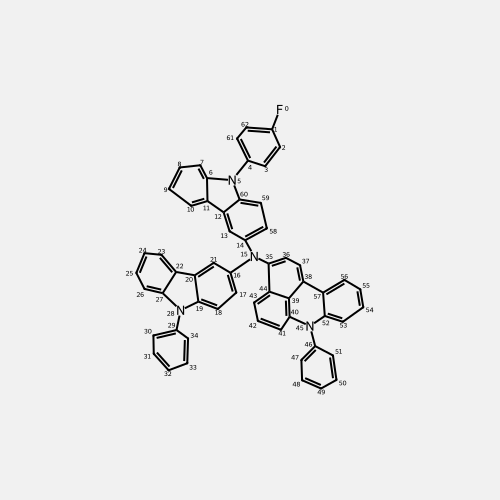 Fc1ccc(-n2c3ccccc3c3cc(N(c4ccc5c(c4)c4ccccc4n5-c4ccccc4)c4ccc5c6c(cccc46)N(c4ccccc4)c4ccccc4-5)ccc32)cc1